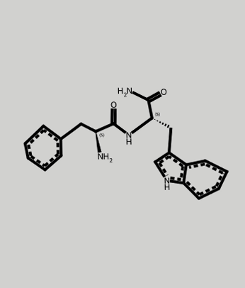 NC(=O)[C@H](Cc1c[nH]c2ccccc12)NC(=O)[C@@H](N)Cc1ccccc1